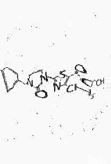 CCOC(=O)c1sc(N2CCCN(Cc3ccc(F)cc3)C2=O)nc1C